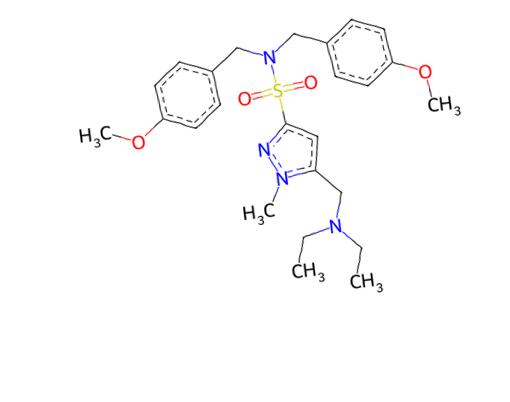 CCN(CC)Cc1cc(S(=O)(=O)N(Cc2ccc(OC)cc2)Cc2ccc(OC)cc2)nn1C